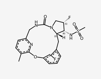 Cc1ccc2nc1Oc1cccc(c1F)C[C@H]1[C@@H](NS(C)(=O)=O)[C@@H](F)CN1C(=O)NC2